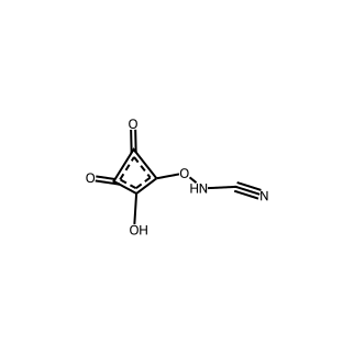 N#CNOc1c(O)c(=O)c1=O